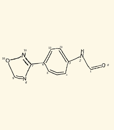 O=CNc1ccc(-c2ncon2)cc1